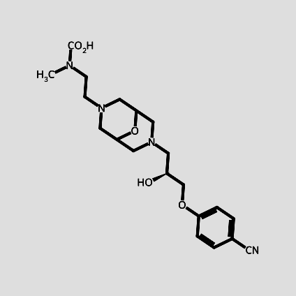 CN(CCN1CC2CN(C[C@H](O)COc3ccc(C#N)cc3)CC(C1)O2)C(=O)O